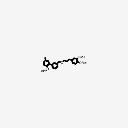 CCCOc1ccc(C)cc1-c1cccc(COCCCc2ccc(OC)c(OC)c2)c1